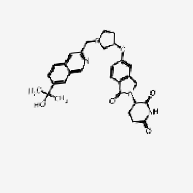 CC(C)(O)c1ccc2cc(CN3CCC(Oc4ccc5c(c4)CN(C4CCC(=O)NC4=O)C5=O)C3)ncc2c1